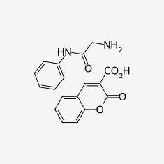 NCC(=O)Nc1ccccc1.O=C(O)c1cc2ccccc2oc1=O